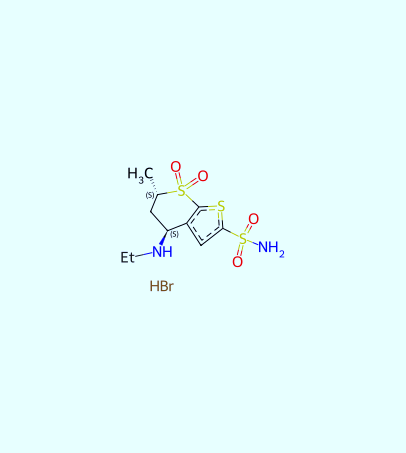 Br.CCN[C@H]1C[C@H](C)S(=O)(=O)c2sc(S(N)(=O)=O)cc21